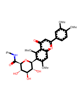 COc1ccc(-c2cc(=O)c3c(OC)c([C@@H]4O[C@H](C(=O)NC(C)C)[C@@H](O)[C@H](O)[C@H]4O)c(OC)cc3o2)cc1OC